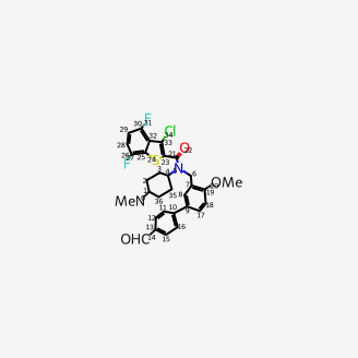 CNC1CCC(N(Cc2cc(-c3ccc(C=O)cc3)ccc2OC)C(=O)c2sc3c(F)ccc(F)c3c2Cl)CC1